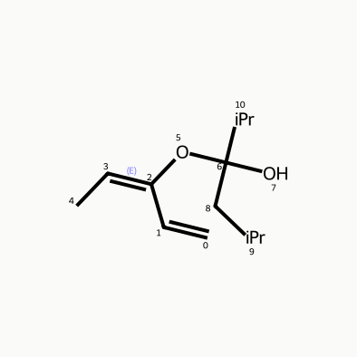 C=C/C(=C\C)OC(O)(CC(C)C)C(C)C